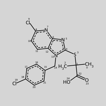 CC(C)(Sc1nc2nc(Cl)ccc2n1Cc1ccc(Cl)cc1)C(=O)O